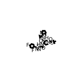 CC(C)(C)OC(=O)N1CC[C@H](NC(=O)c2nnc(-c3ccc(F)cc3F)s2)[C@@H](C(=O)NC2(c3ncccn3)CC2)C1